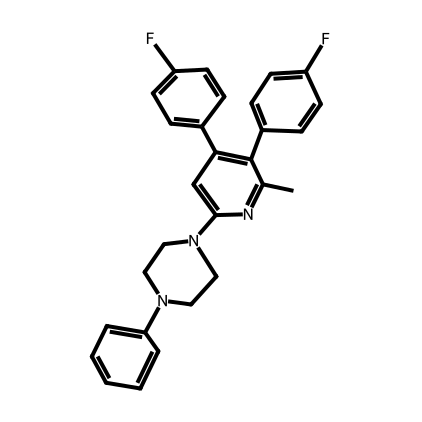 Cc1nc(N2CCN(c3ccccc3)CC2)cc(-c2ccc(F)cc2)c1-c1ccc(F)cc1